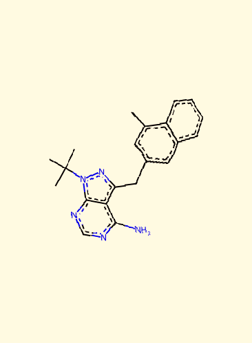 Cc1cc(Cc2nn(C(C)(C)C)c3ncnc(N)c23)cc2ccccc12